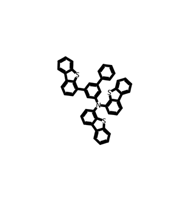 c1ccc(-c2cc(-c3cccc4c3sc3ccccc34)cc(N(c3cccc4c3sc3ccccc34)c3cccc4c3sc3ccccc34)c2)cc1